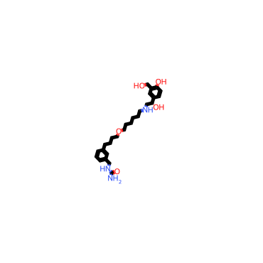 NC(=O)NCc1cccc(CCCCOCCCCCCNC[C@@H](O)c2ccc(O)c(CO)c2)c1